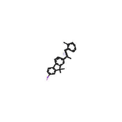 C/C(=C\c1ccccc1C)c1ccc2c(c1)C(C)(C)c1cc(I)ccc1-2